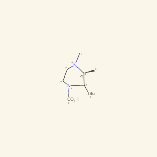 C[C@H]1C(C(C)(C)C)N(C(=O)O)CCN1C